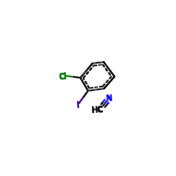 C#N.Clc1ccccc1I